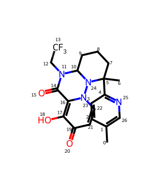 Cc1ccc(C2(C)CCCC3N(CC(F)(F)F)C(=O)c4c(O)c(=O)ccn4N32)nc1